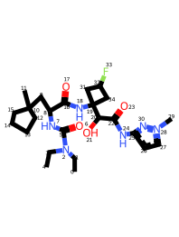 CCN(CC)C(=O)NC(CC1(C)CCCC1)C(=O)NC1(C(O)C(=O)Nc2ccn(C)n2)CC(F)C1